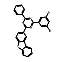 Brc1cc(Br)cc(-c2nc(-c3ccccc3)nc(-c3ccc4sc5ccccc5c4c3)n2)c1